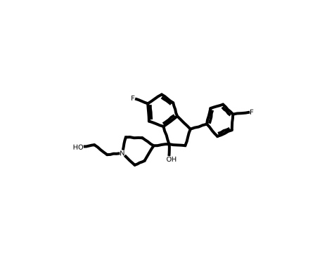 OCCN1CCC(C2(O)CC(c3ccc(F)cc3)c3ccc(F)cc32)CC1